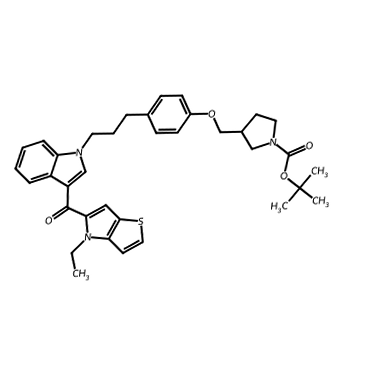 CCn1c(C(=O)c2cn(CCCc3ccc(OCC4CCN(C(=O)OC(C)(C)C)C4)cc3)c3ccccc23)cc2sccc21